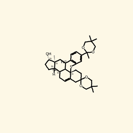 CC1(C)COC2(CC[C@@]34Sc5cc(C6(C)OCC(C)(C)CO6)ccc5[C@H]5C[C@]6(C)[C@@H](O)CC[C@H]6[C@H](CC=C3C2)C54)OC1